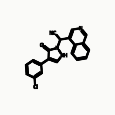 N#CC(c1cncc2ccccc12)n1[nH]cc(-c2cccc(Cl)c2)c1=O